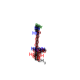 COc1cccc2c1C(=O)c1c(O)c3c(c(O)c1C2=O)CC(C(=O)NNC(=O)CCOCCOCCOCCOCCNC(=O)c1ccc2nc(CBr)c(CBr)nc2c1)C[C@@H]3O[C@H]1CC[C@H](O[C@@H]2COCCN2)[C@H](C)O1